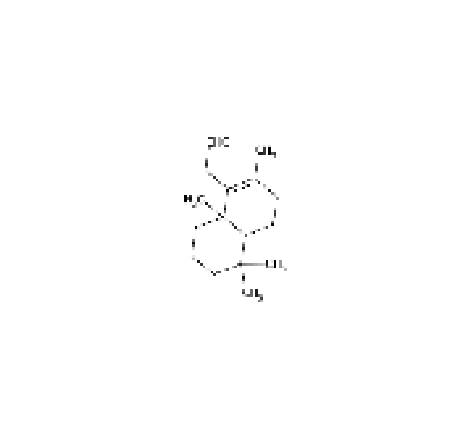 CC1=C(CC=O)C2(C)CCCC(C)(C)C2CC1